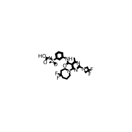 Cc1nc(N2CC(F)(F)C2)nc(N2CCCC(F)(F)CC2)c1C(=O)Nc1cccc(S(C)(=O)=NC(=O)O)c1